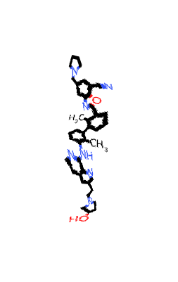 Cc1c(Nc2nccc3cc(CCN4CC[C@@H](O)C4)cnc23)cccc1-c1cccc(-c2nc3cc(CN4CCCC4)cc(C#N)c3o2)c1C